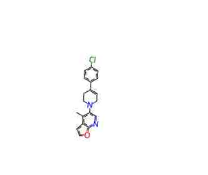 Cc1c(N2CC=C(c3ccc(Cl)cc3)CC2)cnc2occc12